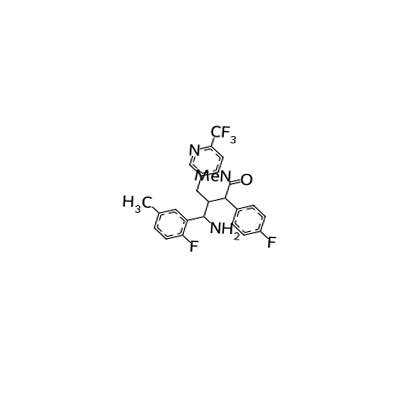 CNC(=O)C(c1ccc(F)cc1)C(Cc1ccc(C(F)(F)F)nc1)C(N)c1cc(C)ccc1F